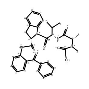 CC(C)[C@H](NC(=O)[C@H](C)N(C)C(=O)O)C(=O)N1c2ncccc2C[C@H]1C(=O)Nc1ccccc1C(=O)c1ccccc1